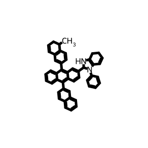 CC1CC=Cc2cc(-c3c4ccccc4c(-c4ccc5ccccc5c4)c4ccc(C5NC6=C(C=CCC6)N5c5ccccc5)cc34)ccc21